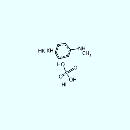 CNc1ccccc1.I.O=S(=O)(O)O.[KH].[KH]